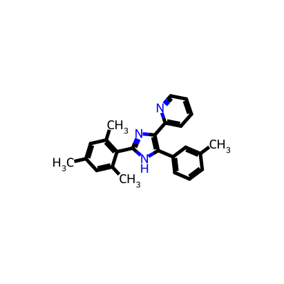 Cc1cccc(-c2[nH]c(-c3c(C)cc(C)cc3C)nc2-c2ccccn2)c1